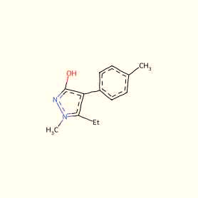 CCc1c(-c2ccc(C)cc2)c(O)nn1C